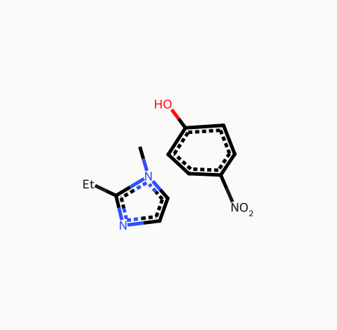 CCc1nccn1C.O=[N+]([O-])c1ccc(O)cc1